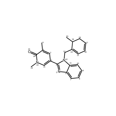 Cc1cc(-c2nc3ccccc3n2CC2=CC=CCC2C)cn(C)c1=O